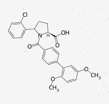 COc1ccc(OC)c(-c2ccc(C(=O)N3C(c4ccccc4Cl)CC[C@H]3C(=O)O)cc2)c1